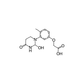 Cc1ccc(OCC(=O)O)cc1N1CCC(=O)NC1O